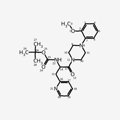 COc1ccccc1N1CCN(C(=O)C(Cc2ccccn2)NC(=O)OC(C)(C)C)CC1